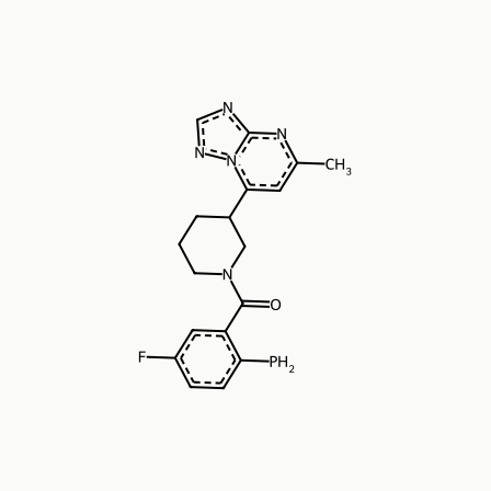 Cc1cc(C2CCCN(C(=O)c3cc(F)ccc3P)C2)n2ncnc2n1